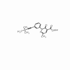 COC(=O)c1cc(C)nn(-c2cccc(C#C[Si](C)(C)C)c2)c1=O